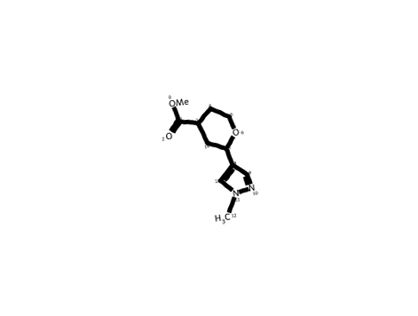 COC(=O)C1CCOC(c2cnn(C)c2)C1